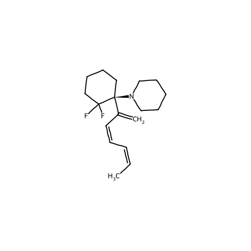 C=C(/C=C\C=C/C)[C@@]1(N2CCCCC2)CCCCC1(F)F